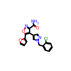 NC(=O)c1noc(-c2ccco2)c1-c1cnn(Cc2ccccc2Cl)c1